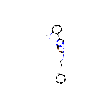 CN(C)c1ccccc1-c1cn2nc(NCCOc3ccccc3)sc2n1